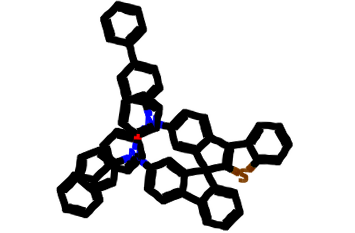 c1ccc(-c2ccc(N(c3ccc(-c4ccccc4)cc3)c3ccc4c(c3)C3(c5ccccc5-c5ccc(N(c6ccccc6)c6ccccc6)cc53)c3sc5ccccc5c3-4)cc2)cc1